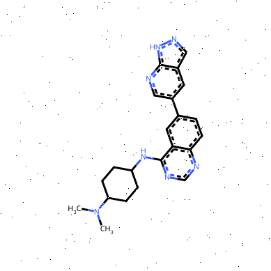 CN(C)C1CCC(Nc2ncnc3ccc(-c4cnc5[nH]ncc5c4)cc23)CC1